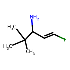 CC(C)(C)C(N)C=CF